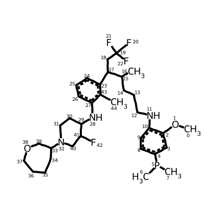 COc1cc(P(C)C)ccc1NCCCC(C)C(CC(F)(F)F)c1cccc(NC2CCN(C3CCCCOC3)CC2F)c1C